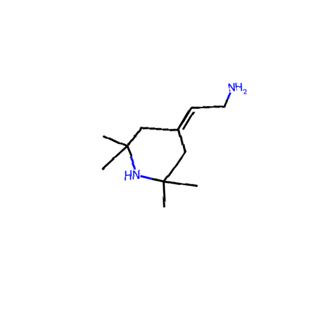 CC1(C)CC(=CCN)CC(C)(C)N1